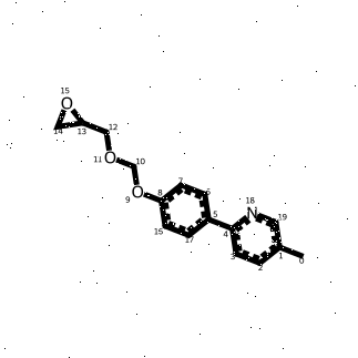 Cc1ccc(-c2ccc(OCOCC3CO3)cc2)nc1